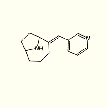 C(=C1CCCC2CCC1N2)c1cccnc1